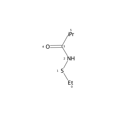 CCSNC(=O)C(C)C